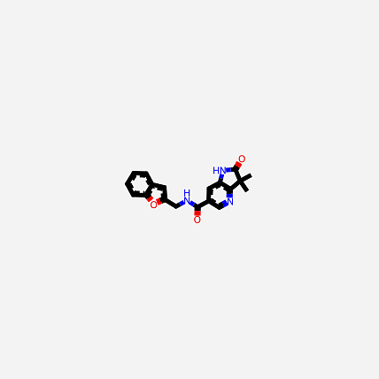 CC1(C)C(=O)Nc2cc(C(=O)NCc3cc4ccccc4o3)cnc21